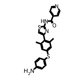 Cc1cc(Sc2ccc(N)cc2)cc(C)c1-c1csc(NC(=O)c2ccncc2)n1